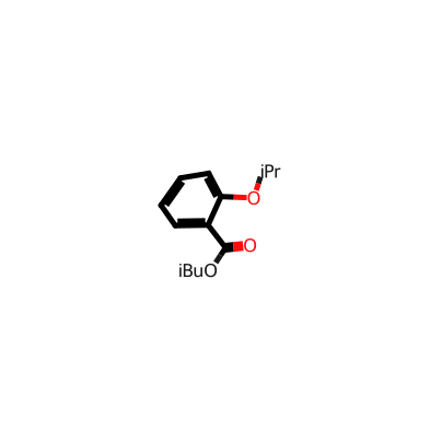 CC(C)COC(=O)c1ccccc1OC(C)C